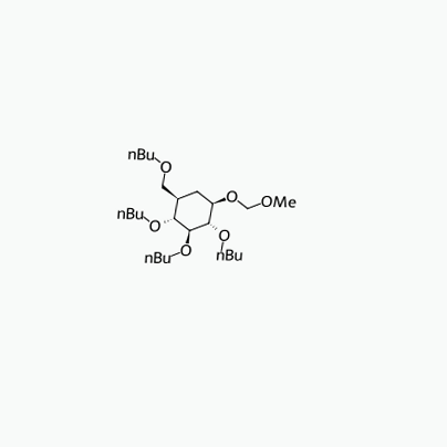 CCCCOC[C@H]1C[C@@H](OCOC)[C@H](OCCCC)[C@@H](OCCCC)[C@@H]1OCCCC